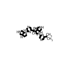 CC(C)c1cncc(N2CC(C(C)(C)c3cncc(N4CC[C@@H]5CNC[C@@H]54)n3)[C@H]3CNC[C@H]32)n1